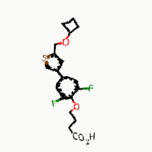 O=C(O)CCCOc1c(F)cc(-c2csc(COC3CCC3)c2)cc1F